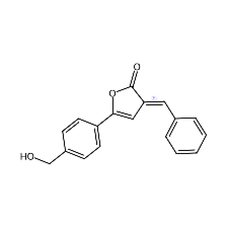 O=C1OC(c2ccc(CO)cc2)=C/C1=C\c1ccccc1